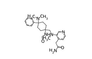 CN(CC1(NC=O)CCC(c2ccccc2)(N(C)C)CC1)c1cnccc1CC(N)=O